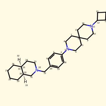 c1cc(N2CCC3(CC2)CCN(C2CCC2)CC3)ccc1CN1CC[C@@H]2CCCC[C@@H]2C1